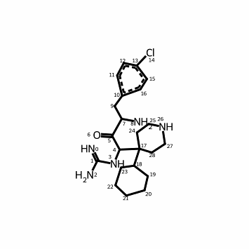 N=C(N)NC(C(=O)C(N)Cc1ccc(Cl)cc1)C1(C2CCCCC2)CCNCC1